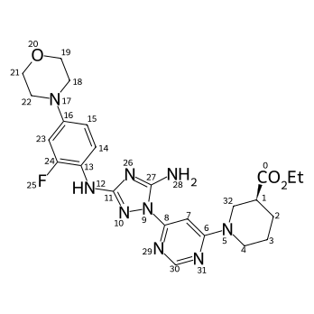 CCOC(=O)[C@H]1CCCN(c2cc(-n3nc(Nc4ccc(N5CCOCC5)cc4F)nc3N)ncn2)C1